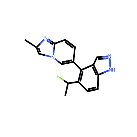 Cc1cn2cc(-c3c(C(C)F)ccc4[nH]ncc34)ccc2n1